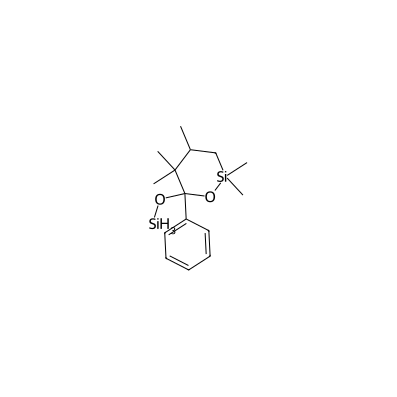 CC1C[Si](C)(C)OC(O[SiH3])(c2ccccc2)C1(C)C